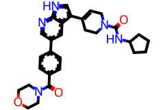 O=C(NC1CCCC1)N1CC=C(c2c[nH]c3ncc(-c4ccc(C(=O)N5CCOCC5)cc4)cc23)CC1